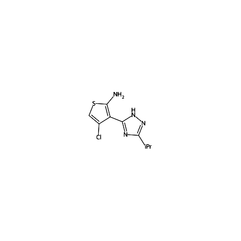 CC(C)c1n[nH]c(-c2c(Cl)csc2N)n1